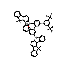 CC1(C)c2ccccc2-c2ccc3c(c21)c1ccccc1n3-c1ccc(C#N)c(-c2cc(-c3cc(C(F)(F)F)cc(C(F)(F)F)c3)ccc2-n2c3ccccc3c3c4c(ccc32)-c2ccccc2C4(C)C)c1